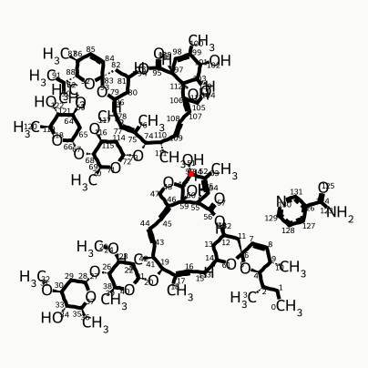 CC[C@H](C)[C@H]1O[C@]2(C=C[C@@H]1C)C[C@@H]1C[C@@H](C/C=C(\C)[C@@H](O[C@H]3C[C@H](OC)[C@@H](O[C@H]4C[C@H](OC)[C@@H](O)[C@H](C)O4)[C@H](C)O3)[C@@H](C)/C=C/C=C3\CO[C@@H]4[C@H](O)C(C)=C[C@@H](C(=O)O1)[C@]34O)O2.CO[C@H]1C[C@H](O[C@H]2[C@H](C)O[C@@H](O[C@@H]3/C(C)=C/C[C@@H]4C[C@@H](C[C@]5(C=C[C@H](C)[C@@H](C(C)C)O5)O4)OC(=O)[C@@H]4C=C(C)[C@@H](O)[C@H]5OC/C(=C\C=C\[C@@H]3C)[C@]54O)C[C@@H]2OC)O[C@@H](C)[C@@H]1O.NC(=O)c1cccnc1